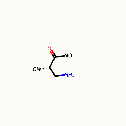 NC[C@H](N=O)C(=O)N=O